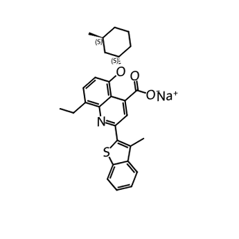 CCc1ccc(O[C@H]2CCC[C@H](C)C2)c2c(C(=O)[O-])cc(-c3sc4ccccc4c3C)nc12.[Na+]